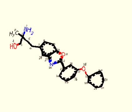 CC(N)(CO)CCc1ccc2oc(-c3cccc(Oc4ccccc4)c3)nc2c1